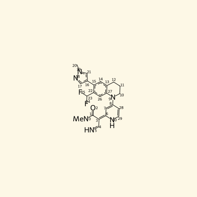 CNC(=O)/C(C=N)=C1\C=C(N2CCCc3cc(-c4cnn(C)c4)c(C(F)F)cc32)C=CN1